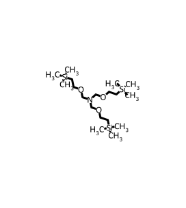 C[Si](C)(C)CCOCN(COCC[Si](C)(C)C)COCC[Si](C)(C)C